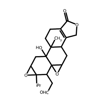 CC(C)C12OC1CC1(O)C3(C)CCC4=C(COC4=O)C3CC3OC31C2CC=O